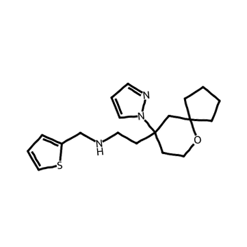 c1csc(CNCCC2(n3cccn3)CCOC3(CCCC3)C2)c1